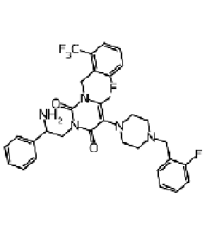 Cc1c(N2CCN(Cc3ccccc3F)CC2)c(=O)n(CC(N)c2ccccc2)c(=O)n1Cc1c(F)cccc1C(F)(F)F